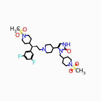 CS(=O)(=O)N1CCC(Cn2c(C3CCN(CC[C@@H](c4cc(F)cc(F)c4)C4CCN(S(C)(=O)=O)CC4)CC3)c[nH]c2=O)CC1